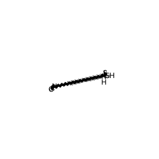 O=C=NCCCCCCCCCCCCCCCCCCCCCCCCCCNC(=S)S